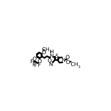 CCOC(=O)N1CCc2c(sc(NC(=O)CCc3c(OC)ccc4c3OC(F)(F)C(F)(F)O4)c2C#N)C1